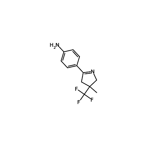 CC1(C(F)(F)F)CN=C(c2ccc(N)cc2)C1